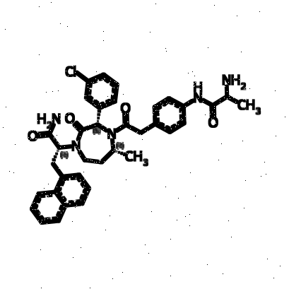 CC(N)C(=O)Nc1ccc(CC(=O)N2[C@H](C)CCN([C@H](Cc3cccc4ccccc34)C(N)=O)C(=O)[C@@H]2c2cccc(Cl)c2)cc1